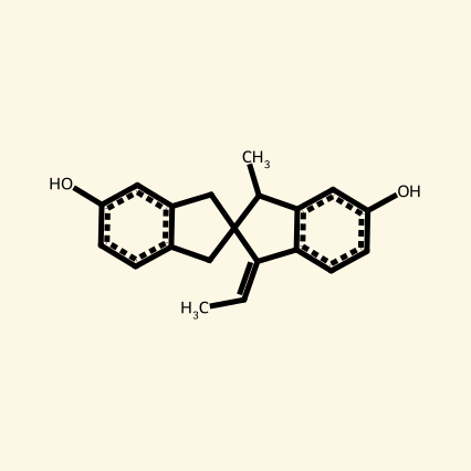 C/C=C1/c2ccc(O)cc2C(C)C12Cc1ccc(O)cc1C2